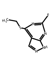 CCSc1nc(F)nc2[nH]ncc12